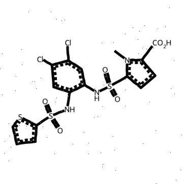 Cn1c(C(=O)O)ccc1S(=O)(=O)Nc1cc(Cl)c(Cl)cc1NS(=O)(=O)c1cccs1